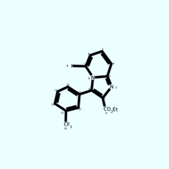 CCOC(=O)c1nc2cccc(I)n2c1-c1cccc(C(F)(F)F)c1